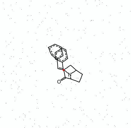 O=C1C(=Cc2ccccc2)CC2CCC1N2Cc1ccccc1